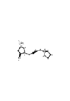 CC(=O)O[C@H]1CC(=O)N(CC#CCN2CCCC2)C1